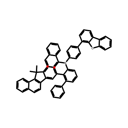 CC1(C)c2ccc(-c3c(-c4ccccc4)cccc3N(c3ccc(-c4cccc5c4oc4ccccc45)cc3)c3cccc4ccccc34)cc2-c2ccc3ccccc3c21